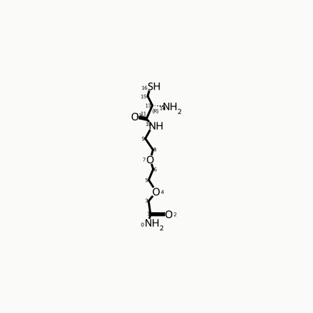 NC(=O)COCCOCCNC(=O)[C@@H](N)CS